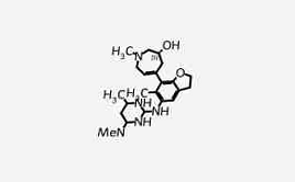 CNC1CC(C)NC(Nc2cc3c(c(C4=CCN(C)C[C@@H](O)C4)c2C)OCC3)N1